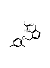 CCC(=O)Nc1c(I)cccc1COc1ccc(C)cc1C